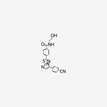 N#Cc1ccc(-c2cnc3sc(-c4ccc(C(=O)NCCO)cc4)nn23)cc1